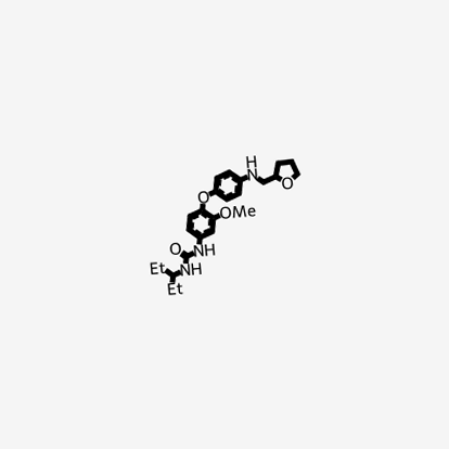 CCC(CC)NC(=O)Nc1ccc(Oc2ccc(NCC3CCCO3)cc2)c(OC)c1